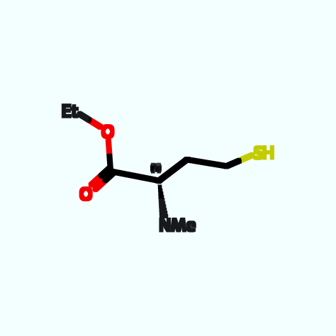 CCOC(=O)[C@H](CCS)NC